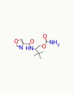 CC(C)(C)C(COC(N)=O)NC(=O)c1cocn1